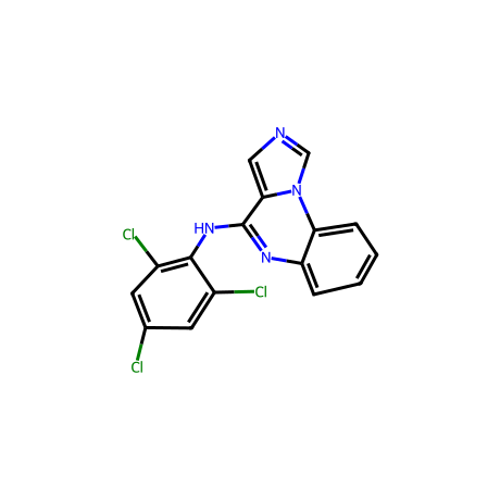 Clc1cc(Cl)c(Nc2nc3ccccc3n3cncc23)c(Cl)c1